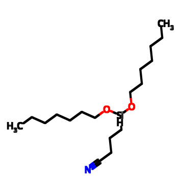 CCCCCCCO[SiH](CCCC#N)OCCCCCCC